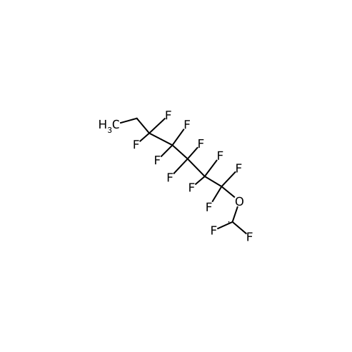 CCC(F)(F)C(F)(F)C(F)(F)C(F)(F)C(F)(F)O[C](F)F